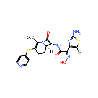 Nc1nc(/C(=N/O)C(=O)N[C@@H]2C(=O)N3C(C(=O)O)=C(Sc4ccncc4)CC[C@H]23)c(Cl)s1